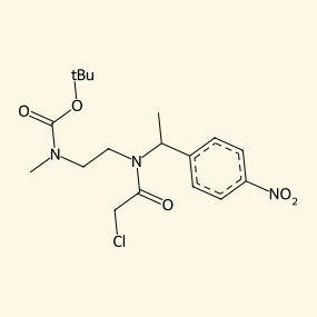 CC(c1ccc([N+](=O)[O-])cc1)N(CCN(C)C(=O)OC(C)(C)C)C(=O)CCl